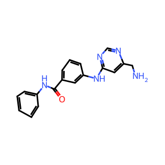 NCc1cc(Nc2cccc(C(=O)Nc3ccccc3)c2)ncn1